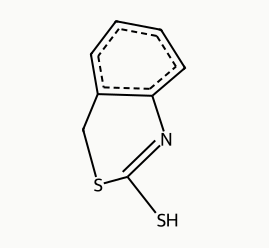 SC1=Nc2ccccc2CS1